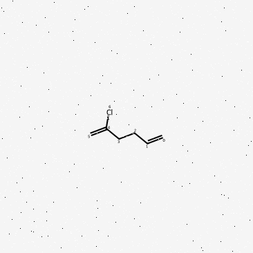 C=CCCC(=C)Cl